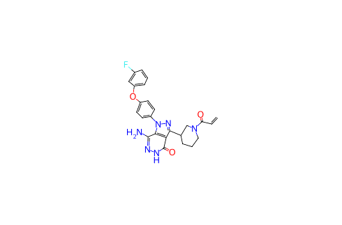 C=CC(=O)N1CCCC(c2nn(-c3ccc(Oc4cccc(F)c4)cc3)c3c(N)n[nH]c(=O)c23)C1